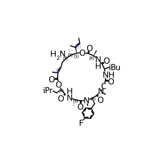 C/C=C(\C)[C@H]1OC(=O)[C@@H](C)NC(=O)C(C(C)CC)NC(=O)CN(C)C(=O)[C@@H](Cc2ccc(F)cc2)N(C)C(=O)[C@H](C)NC(=O)[C@@H](CC(C)C)OC(=O)/C(C)=C/C[C@H](N)[C@@H]1C